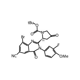 COc1ccc(-n2c([C@@H]3CC(=O)CN3C(=O)OC(C)(C)C)nc3c(Br)cc(C#N)cc3c2=O)cc1F